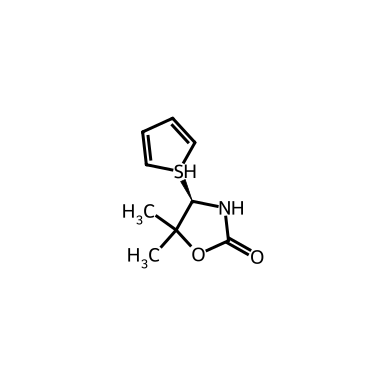 CC1(C)OC(=O)N[C@@H]1[SH]1C=CC=C1